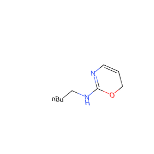 CCCCCNC1=NC=CCO1